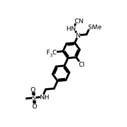 CSCN(NC#N)c1cc(Cl)c(-c2ccc(CCNS(C)(=O)=O)cc2)c(C(F)(F)F)c1